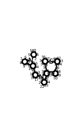 c1ccc(-n2c3ccccc3c3cc(-c4cccc(-n5c6ccccc6c6cc7c(cc65)Cc5ccccc5Sc5ccccc5Cc5ccccc5-7)c4)ccc32)cc1